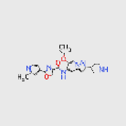 CCCOc1cn2nc(C3CCNCC3)cc2cc1NC(=O)c1coc(-c2ccnc(C)c2)n1